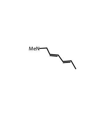 CC=CC=CCNC